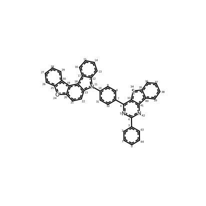 c1ccc(-c2nc(-c3ccc(-n4c5ccccc5c5c6c(ccc54)oc4ccccc46)cc3)c3sc4ccccc4c3n2)cc1